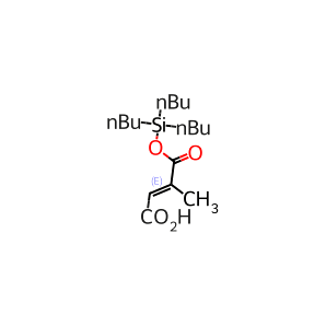 CCCC[Si](CCCC)(CCCC)OC(=O)/C(C)=C/C(=O)O